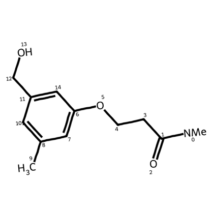 CNC(=O)CCOc1cc(C)[c]c(CO)c1